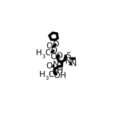 CC(OC(=O)OC1CCCCC1)OC(=O)C1=C(c2csc3cncn23)C[C@@H]2[C@@H]([C@@H](C)O)C(=O)N12